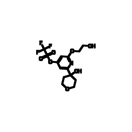 O=S(=O)(Oc1cc(OCCO)nc(C2(O)CCOCC2)c1)C(F)(F)F